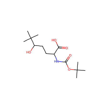 CC(C)(C)OC(=O)NC(CCC(O)C(C)(C)C)C(=O)O